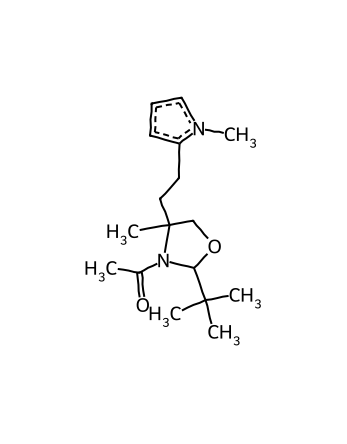 CC(=O)N1C(C(C)(C)C)OCC1(C)CCc1cccn1C